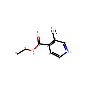 Bc1cnccc1C(=O)OCC